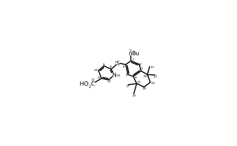 CCCCc1cc2c(cc1Sc1ccc(C(=O)O)cn1)C(C)(C)CCC2(C)C